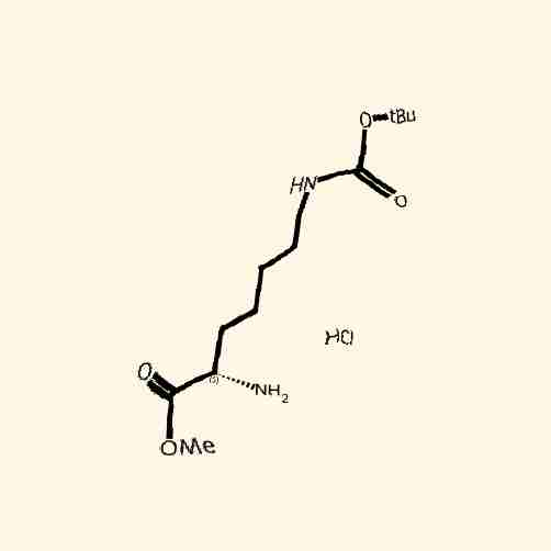 COC(=O)[C@@H](N)CCCCNC(=O)OC(C)(C)C.Cl